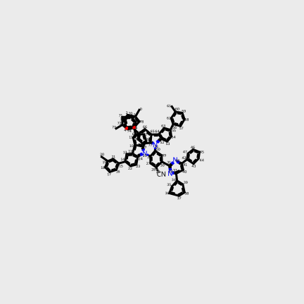 Cc1cccc(-c2ccc3c(c2)c2cc(-c4cccc(C)c4)ccc2n3-c2cc(C#N)c(-c3nc(-c4ccccc4)cc(-c4ccccc4)n3)cc2-n2c3ccc(-c4cccc(C)c4)cc3c3cc(-c4cccc(C)c4)ccc32)c1